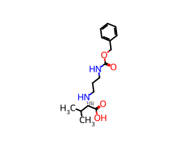 CC(C)[C@H](NCCCNC(=O)OCc1ccccc1)C(=O)O